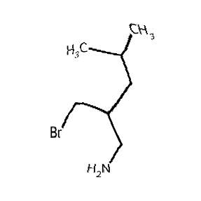 CC(C)CC(CN)CBr